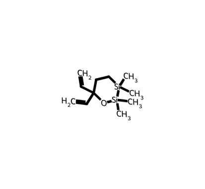 C=CC1(C=C)CC[Si](C)(C)[Si](C)(C)O1